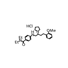 CCN(CC)C(=O)c1ccc(NCC(CCc2ccccc2OC)N2CCCC2)cc1.Cl